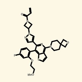 C=CC(=O)N1CC(n2cc(-c3nc(N4CCC5(CC4)COC5)c4ccsc4c3-c3ccc(F)cc3OCCOC)cn2)C1